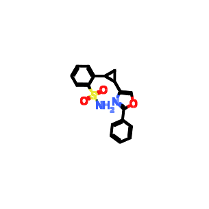 NS(=O)(=O)c1ccccc1C1CC1c1coc(-c2ccccc2)n1